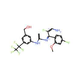 C=C(/N=C(\C(F)=C/N)c1ccc(F)cc1OC)Nc1cc(CO)cc(C(F)(F)C(F)(F)F)c1